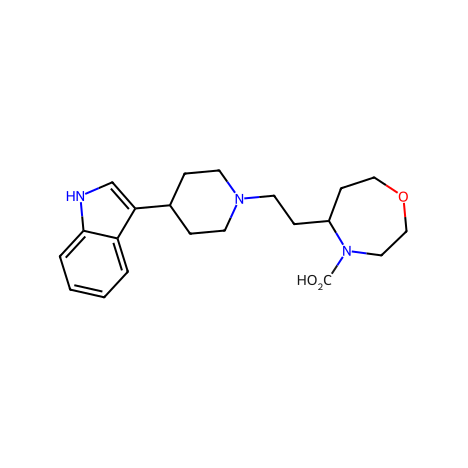 O=C(O)N1CCOCCC1CCN1CCC(c2c[nH]c3ccccc23)CC1